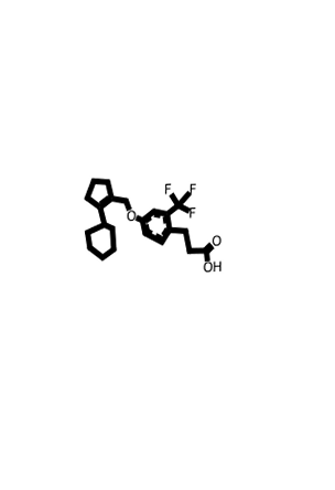 O=C(O)CCc1ccc(OCC2=C(C3CCCCC3)CCC2)cc1C(F)(F)F